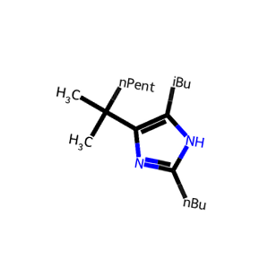 CCCCCC(C)(C)c1nc(CCCC)[nH]c1C(C)CC